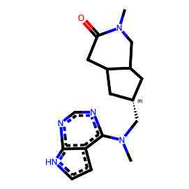 CN1CC2C[C@H](CN(C)c3ncnc4[nH]ccc34)CC2CC1=O